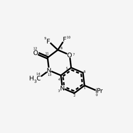 CC(C)c1cnc2c(c1)OC(F)(F)C(=O)N2C